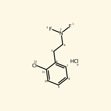 Cl.FN(F)CCc1ccccc1Cl